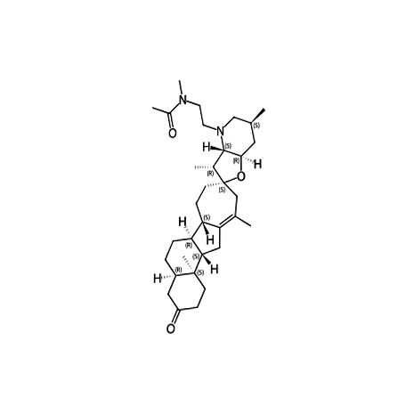 CC(=O)N(C)CCN1C[C@@H](C)C[C@H]2O[C@]3(CC[C@@H]4C(=C(C)C3)C[C@H]3[C@H]4CC[C@@H]4CC(=O)CC[C@@]43C)[C@H](C)[C@@H]21